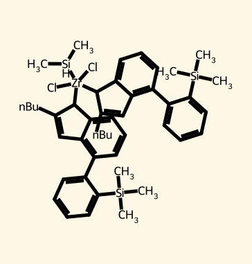 CCCCC1=Cc2c(-c3ccccc3[Si](C)(C)C)cccc2[CH]1[Zr]([Cl])([Cl])([CH]1C(CCCC)=Cc2c(-c3ccccc3[Si](C)(C)C)cccc21)[SiH](C)C